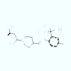 CC(C)(C)c1cc(Cl)ccc1OCC1CCN(C(O)CC(=O)O)CC1